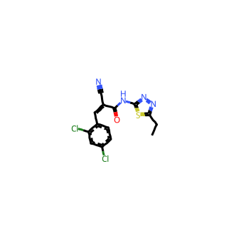 CCc1nnc(NC(=O)C(C#N)=Cc2ccc(Cl)cc2Cl)s1